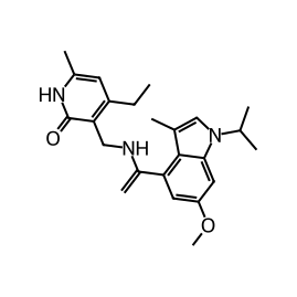 C=C(NCc1c(CC)cc(C)[nH]c1=O)c1cc(OC)cc2c1c(C)cn2C(C)C